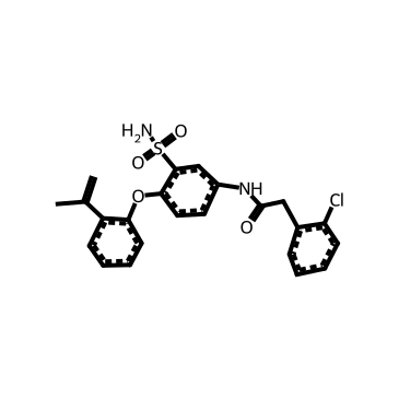 C=C(C)c1ccccc1Oc1ccc(NC(=O)Cc2ccccc2Cl)cc1S(N)(=O)=O